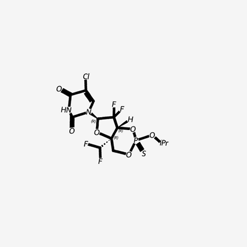 CC(C)OP1(=S)OC[C@@]2(C(F)F)O[C@@H](n3cc(Cl)c(=O)[nH]c3=O)C(F)(F)[C@@H]2O1